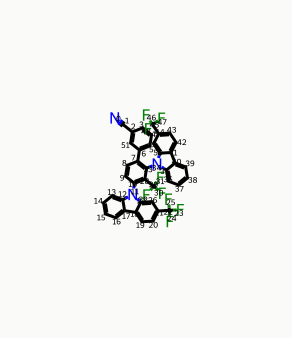 N#Cc1cccc(-c2ccc(-n3c4ccccc4c4ccc(C(F)(F)F)cc43)c(C(F)(F)F)c2-n2c3ccccc3c3ccc(C(F)(F)F)cc32)c1